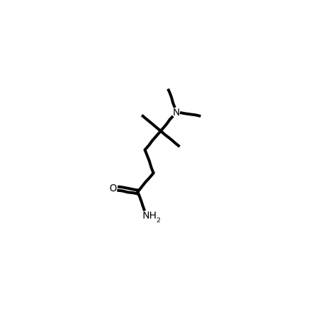 CN(C)C(C)(C)CCC(N)=O